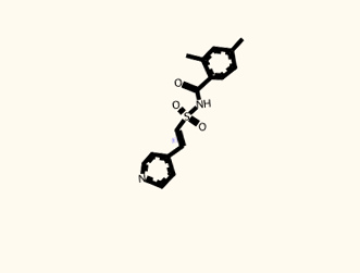 Cc1ccc(C(=O)NS(=O)(=O)/C=C/c2ccncc2)c(C)c1